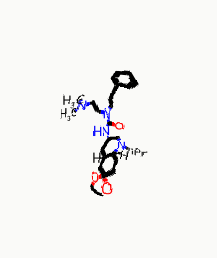 CCCN1C[C@@H](NC(=O)N(CCc2ccccc2)CCN(C)C)C[C@@H]2CC3(CC[C@H]21)OCCO3